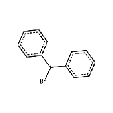 BrI(c1ccccc1)c1ccccc1